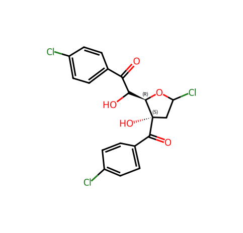 O=C(c1ccc(Cl)cc1)C(O)[C@H]1OC(Cl)C[C@@]1(O)C(=O)c1ccc(Cl)cc1